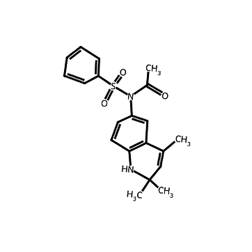 CC(=O)N(c1ccc2c(c1)C(C)=CC(C)(C)N2)S(=O)(=O)c1ccccc1